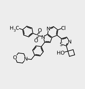 Cc1ccc(S(=O)(=O)n2c(-c3ccc(CN4CCOCC4)cc3)cc3c(-c4cnc(C5(O)CCC5)s4)c(Cl)cnc32)cc1